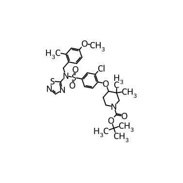 COc1ccc(CN(c2ncns2)S(=O)(=O)c2ccc(OC3CCN(C(=O)OC(C)(C)C)CC3(C)C)c(Cl)c2)c(C)c1